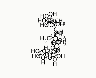 CC[C@@]12CC[C@H]([C@H](S)CCC(OC3OC(CO)C(O)C(O)C3O)C(C)(O)S)[C@@]1(C)C[C@@H](O)[C@]1(C)C2CC=C2[C@H]1CC[C@H](OC1OC(COC3OCC(O)C(O)C3O)C(O)C(O)C1O)[C@@]2(C)S